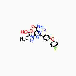 CC(Nc1cc(C(N)=O)nc(-c2ccc(Oc3ccc(F)cc3)cc2)n1)C(=O)O